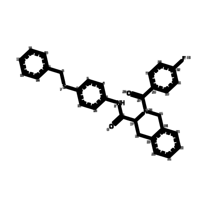 O=C(Nc1ccc(SCc2ccccc2)cc1)C1Cc2ccccc2CN1C(=O)c1ccc(F)cc1